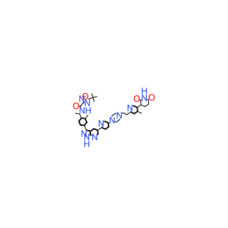 Cc1cc(-c2n[nH]c3ncc(-c4ccc(N5CCN(CCc6cc(C)c(C7CCC(=O)NC7=O)cn6)CC5)cn4)cc23)ccc1C(C)NC(=O)c1noc(C(C)(C)C)n1